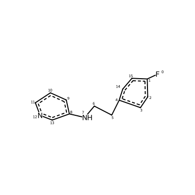 Fc1ccc(CCNc2cccnc2)cc1